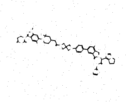 Cn1nc(N2CCC(=O)NC2=O)c2cc(F)c(N3CCC(CC(=O)N4CC5(C4)CN(c4ccc(-c6cc(F)c7c(c6)C(=O)N(C(C(=O)Nc6nccs6)c6ncn8c6CCC8)C7)cc4)C5)CC3(F)F)cc21